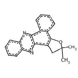 CC1(C)Cc2c(c3ccccc3c3nc4ccccc4nc23)O1